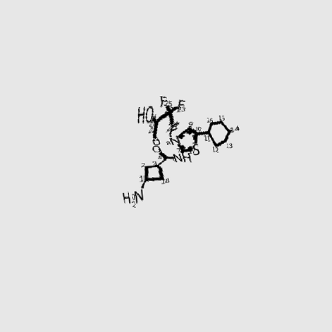 N[C@H]1C[C@@H](C(=O)Nc2ncc(C3CCCCC3)s2)C1.O=C(O)C(F)(F)F